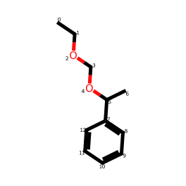 CCOCOC(C)c1ccccc1